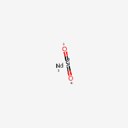 O=[Si]=O.[Nd]